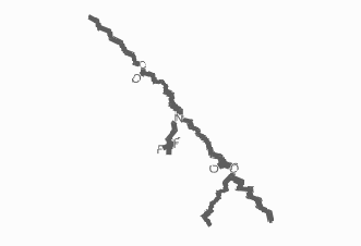 CCCCCCCCCOC(=O)CCCCCCCN(CCCCCCCC(=O)OC(CCCCCCCC)CCCCCCCC)CCCC(C)(F)F